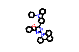 c1ccc(-n2c3ccccc3c3ccc(-c4nc(N5c6ccccc6-c6cccc7cccc5c67)nc5c4oc4ccccc45)cc32)cc1